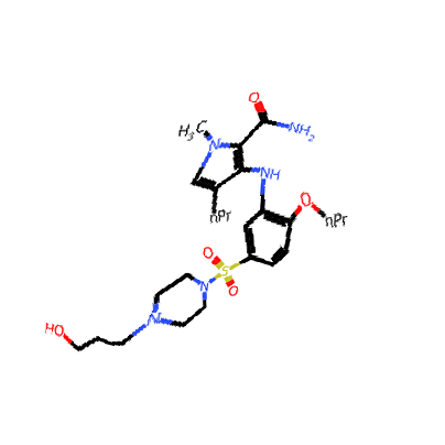 CCCOc1ccc(S(=O)(=O)N2CCN(CCCO)CC2)cc1Nc1c(CCC)cn(C)c1C(N)=O